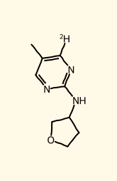 [2H]c1nc(NC2CCOC2)ncc1C